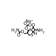 NC(=O)OCC1=C(OC(=O)[O-])N2C(=O)C(N)[C@@H]2SC1.[Na+]